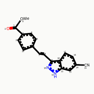 COC(=O)c1ccc(C=Cc2n[nH]c3cc(C#N)ccc23)cc1